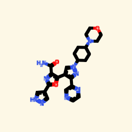 NC(=O)c1nc(-c2cn[nH]c2)oc1-c1cn(C2CCC(N3CCOCC3)CC2)nc1-c1cnccn1